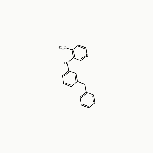 O=C(O)c1ccncc1Nc1cccc(Cc2ccccc2)c1